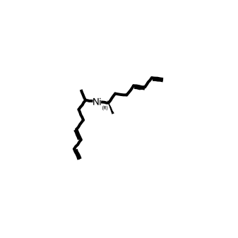 C=CC=CCC[CH](C)[Ni][C@H](C)CCC=CC=C